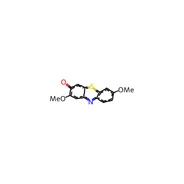 COc1ccc2nc3cc(OC)c(=O)cc-3sc2c1